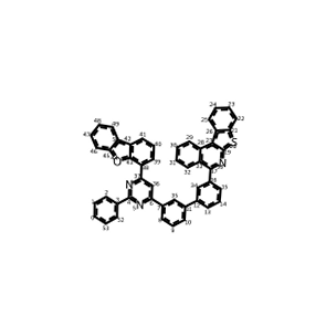 c1ccc(-c2nc(-c3cccc(-c4cccc(-c5nc6sc7ccccc7c6c6ccccc56)c4)c3)cc(-c3cccc4c3oc3ccccc34)n2)cc1